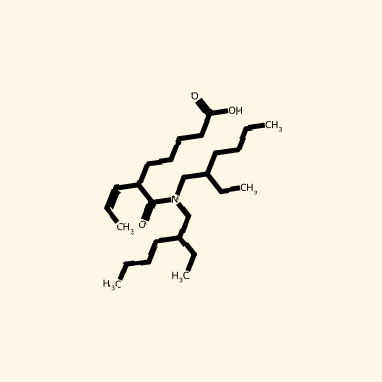 C/C=C\C(CCCCC(=O)O)C(=O)N(CC(CC)CCCC)CC(CC)CCCC